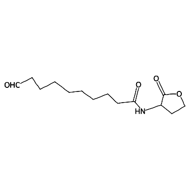 O=CCCCCCCCCC(=O)NC1CCOC1=O